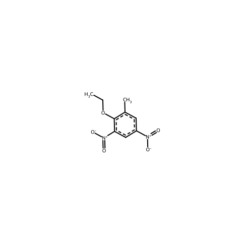 CCOc1c(C)cc([N+](=O)[O-])cc1[N+](=O)[O-]